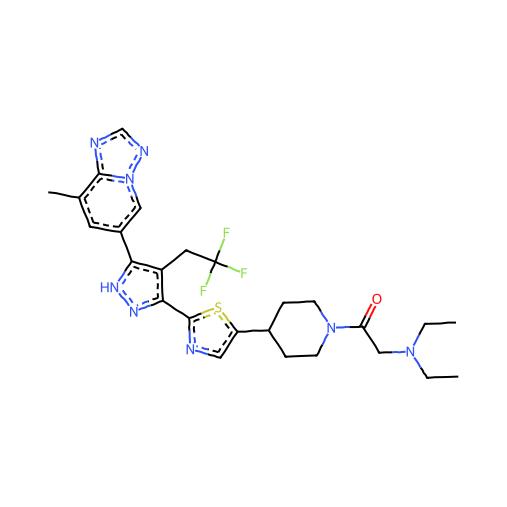 CCN(CC)CC(=O)N1CCC(c2cnc(-c3n[nH]c(-c4cc(C)c5ncnn5c4)c3CC(F)(F)F)s2)CC1